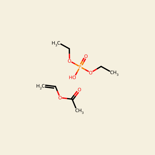 C=COC(C)=O.CCOP(=O)(O)OCC